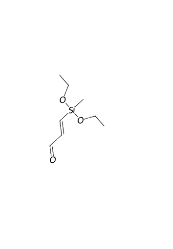 CCO[Si](C)(C=CC=O)OCC